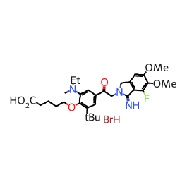 Br.CCN(C)c1cc(C(=O)CN2Cc3cc(OC)c(OC)c(F)c3C2=N)cc(C(C)(C)C)c1OCCCCC(=O)O